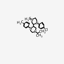 Cc1ccc(N2CCN(C(C)C)CC2C2CN(C)CCN2c2ccc(Cl)cc2)cc1